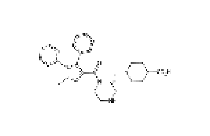 Cc1cc(C(=O)N2CCNC[C@H]2CN2CCC(C(=O)O)CC2)c(-c2ccccc2)n1-c1ccccc1